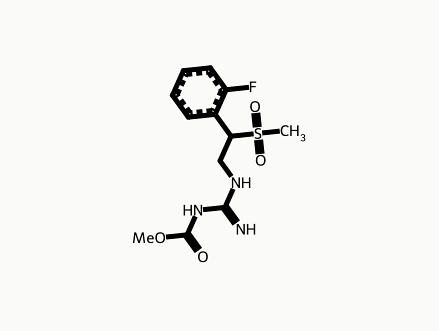 COC(=O)NC(=N)NCC(c1ccccc1F)S(C)(=O)=O